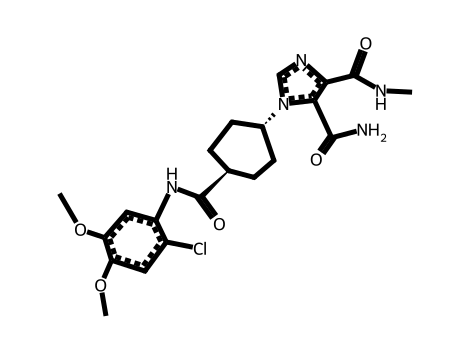 CNC(=O)c1ncn([C@H]2CC[C@H](C(=O)Nc3cc(OC)c(OC)cc3Cl)CC2)c1C(N)=O